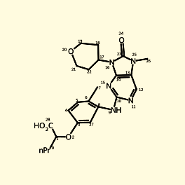 CCCC(Oc1ccc(C)c(Nc2ncc3c(n2)n(C2CCOCC2)c(=O)n3C)c1)C(=O)O